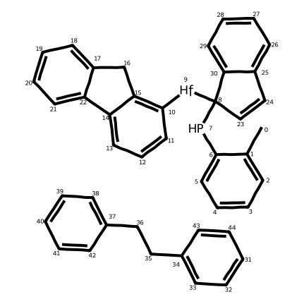 Cc1ccccc1P[C]1([Hf][c]2cccc3c2Cc2ccccc2-3)C=Cc2ccccc21.c1ccc(CCc2ccccc2)cc1